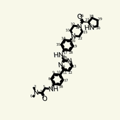 CN(C)C(=O)CNc1ccc(-c2ccnc(Nc3ccc(N4CCN(C(=O)[C@H]5CCCN5)CC4)cc3)n2)cc1